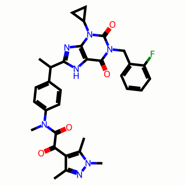 Cc1nn(C)c(C)c1C(=O)C(=O)N(C)c1ccc(C(C)c2nc3c([nH]2)c(=O)n(Cc2ccccc2F)c(=O)n3C2CC2)cc1